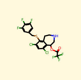 O=C(OC1CNCCc2c(SCc3cc(F)c(F)c(F)c3)c(Cl)cc(Cl)c21)C(F)(F)F